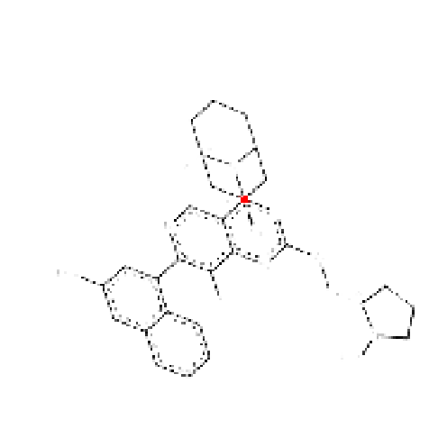 CN1CCC[C@H]1COc1nc(N2C3CCC[C@@H]2C[C@H](O)C3)c2cnc(-c3cc(O)cc4ccccc34)c(F)c2n1